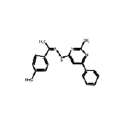 COc1ccc(/C(C)=N\Nc2cc(-c3ccccc3)nc(C)n2)cc1